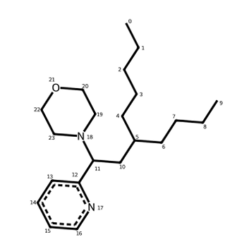 CCCCCC(CCCC)CC(c1ccccn1)N1CCOCC1